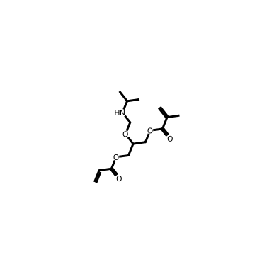 C=CC(=O)OCC(COC(=O)C(=C)C)OCNC(C)C